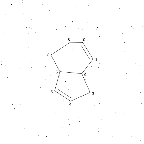 C1=CC2CC=CC2CC1